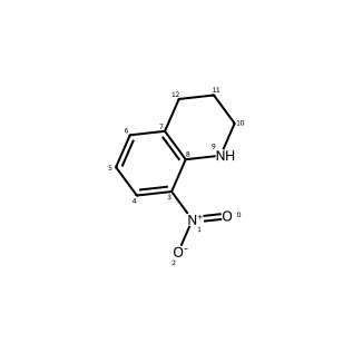 O=[N+]([O-])c1cccc2c1NCCC2